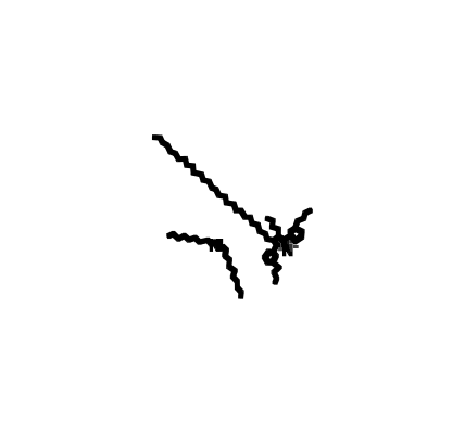 CCCCCCCCC=[CH][Ni][CH]=CCCCCCCCC.CCCCCCCCCCCCCCCCCCCCCCCCCCCCCC1=C(c2cccc(CCCC)c2)[N+](=[N-])C(c2cccc(CCCC)c2)=C1CCCC